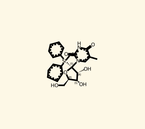 Cc1cn([C@]2([Si](c3ccccc3)(c3ccccc3)C(C)(C)C)O[C@H](CO)[C@@H](O)[C@H]2O)c(=O)[nH]c1=O